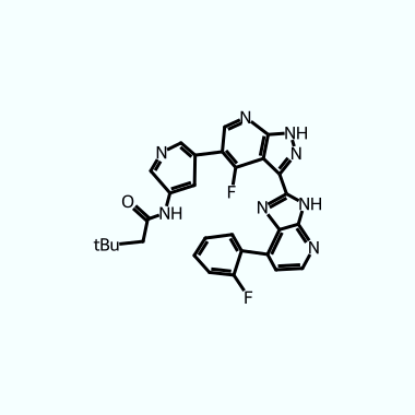 CC(C)(C)CC(=O)Nc1cncc(-c2cnc3[nH]nc(-c4nc5c(-c6ccccc6F)ccnc5[nH]4)c3c2F)c1